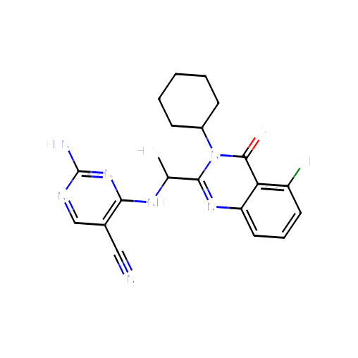 CC(Nc1nc(N)ncc1C#N)c1nc2cccc(Cl)c2c(=O)n1C1CCCCC1